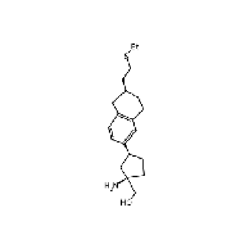 CCSCC[C@H]1CCc2cc([C@H]3CC[C@](N)(CO)C3)ccc2C1